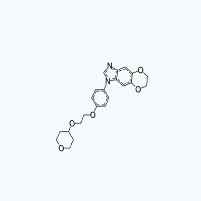 c1cc(-n2cnc3cc4c(cc32)OCCO4)ccc1OCCOC1CCOCC1